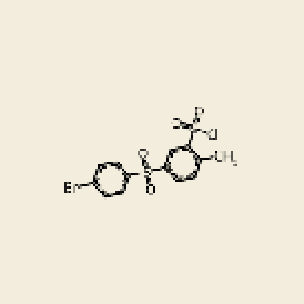 Cc1ccc(S(=O)(=O)c2ccc(Br)cc2)cc1S(=O)(=O)Cl